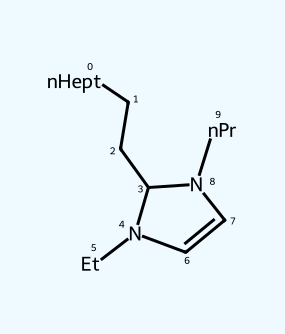 CCCCCCCCCC1N(CC)C=CN1CCC